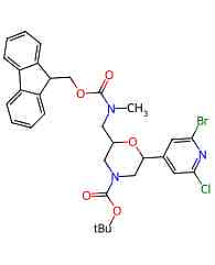 CN(CC1CN(C(=O)OC(C)(C)C)CC(c2cc(Cl)nc(Br)c2)O1)C(=O)OCC1c2ccccc2-c2ccccc21